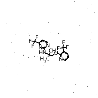 CC(C)(COc1ncccc1C(F)(F)F)Nc1nccc(C(F)(F)F)n1